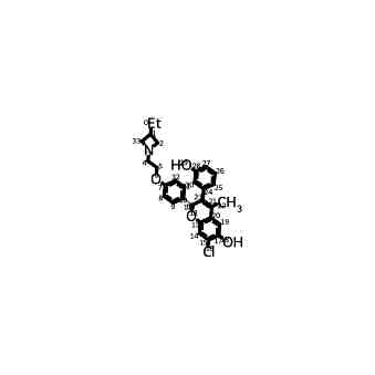 CCC1CN(CCOc2ccc([C@H]3Oc4cc(Cl)c(O)cc4C(C)=C3c3cccc(O)c3)cc2)C1